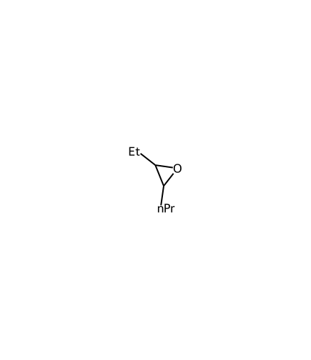 C[CH]CC1OC1CC